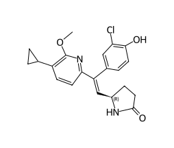 COc1nc(C(=C[C@H]2CCC(=O)N2)c2ccc(O)c(Cl)c2)ccc1C1CC1